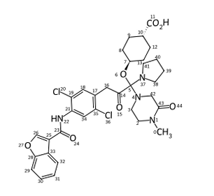 CN1CCN(C(O[C@H]2CC[C@H](C(=O)O)CC2)(C(=O)Cc2cc(Cl)c(NC(=O)c3coc4ccccc34)cc2Cl)N2CCCC2)CC1=O